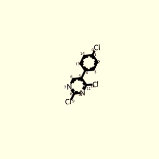 Clc1ccc(-c2cnc(Cl)nc2Cl)cc1